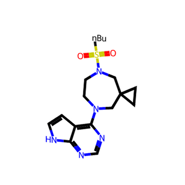 CCCCS(=O)(=O)N1CCN(c2ncnc3[nH]ccc23)CC2(CC2)C1